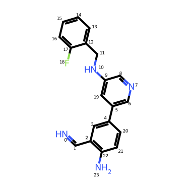 N=Cc1cc(-c2cncc(NCc3ccccc3F)c2)ccc1N